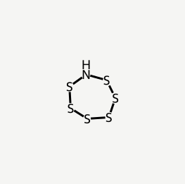 [nH]1ssssss1